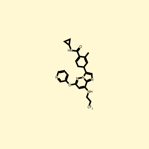 CC1=CC(c2cnc3c(NCCC(F)(F)F)cc(Oc4cccnc4)nn23)CC=C1C(=O)NC1CC1